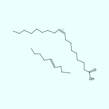 CCCC=CCCCC.CCCCCCCC/C=C\CCCCCCCC(=O)O